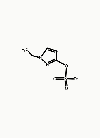 CCS(=O)(=O)Oc1ccn(CC(F)(F)F)n1